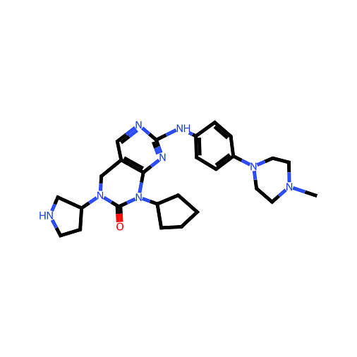 CN1CCN(c2ccc(Nc3ncc4c(n3)N(C3CCCC3)C(=O)N(C3CCNC3)C4)cc2)CC1